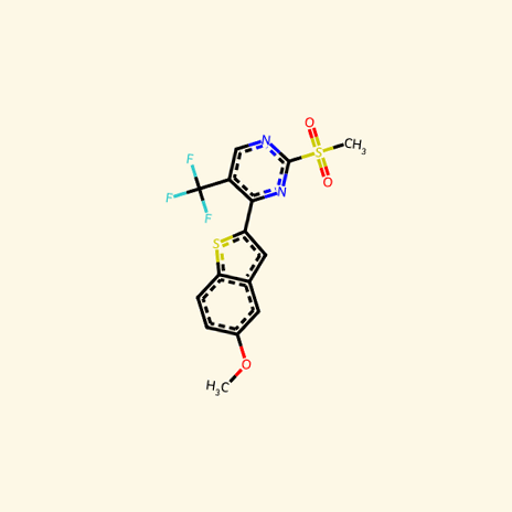 COc1ccc2sc(-c3nc(S(C)(=O)=O)ncc3C(F)(F)F)cc2c1